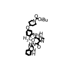 Cc1ccc(OC2CCN(C(=O)OCC(C)C)CC2)cc1NC(=O)c1[nH]cnc1C(=O)Nc1nc2ccccc2[nH]1